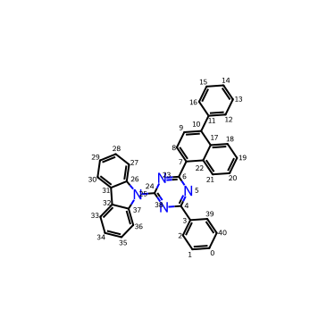 c1ccc(-c2nc(-c3ccc(-c4ccccc4)c4ccccc34)nc(-n3c4ccccc4c4ccccc43)n2)cc1